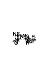 C[S+]([O-])NCC1CC(C#N)CN(c2cc(-c3cnc4ccc(C(F)F)nn34)ncn2)C1